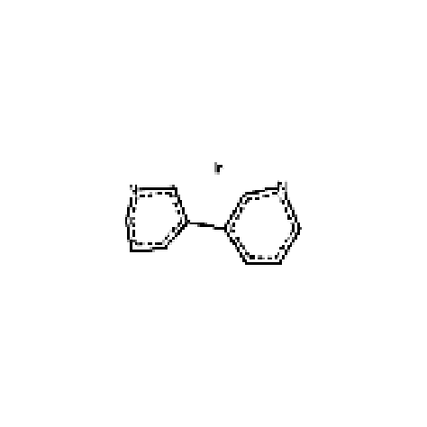 [Ir].c1cncc(-c2cccnc2)c1